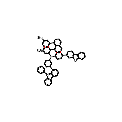 CC(C)(C)c1cc(-c2cccc3cccc(-c4ccccc4N(c4ccc(-c5ccc6c(c5)oc5ccccc56)cc4)c4cccc(-c5cccc6c7ccccc7n(-c7ccccc7)c56)c4)c23)cc(C(C)(C)C)c1